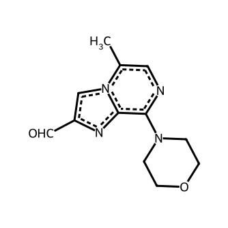 Cc1cnc(N2CCOCC2)c2nc(C=O)cn12